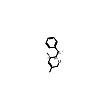 CC1=C[C@@H](C)[C@H]([C@@H](C)c2ccccc2)OC1